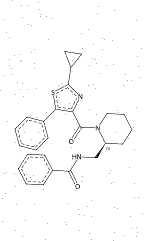 O=C(NC[C@@H]1CCCCN1C(=O)c1nc(C2CC2)sc1-c1ccccc1)c1ccccc1